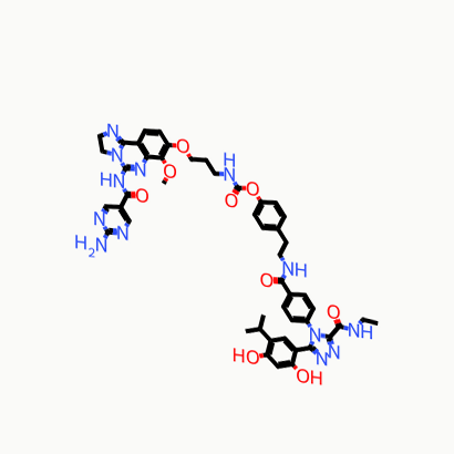 CCNC(=O)c1nnc(-c2cc(C(C)C)c(O)cc2O)n1-c1ccc(C(=O)NCCc2ccc(OC(=O)NCCCOc3ccc4c(c3OC)N=C(NC(=O)c3cnc(N)nc3)N3CCN=C43)cc2)cc1